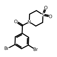 O=C(c1cc(Br)cc(Br)c1)N1CCS(=O)(=O)CC1